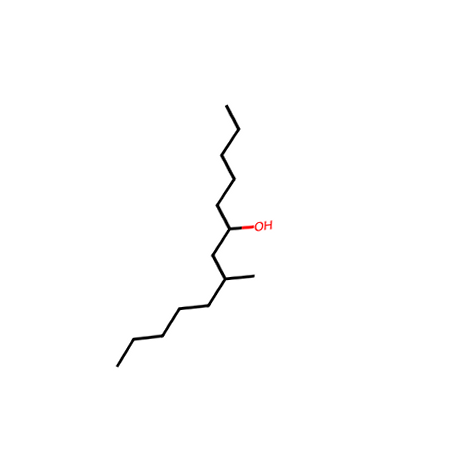 CCCCCC(C)CC(O)CCCCC